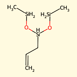 C=CC[SiH](O[SiH2]C)O[SiH2]C